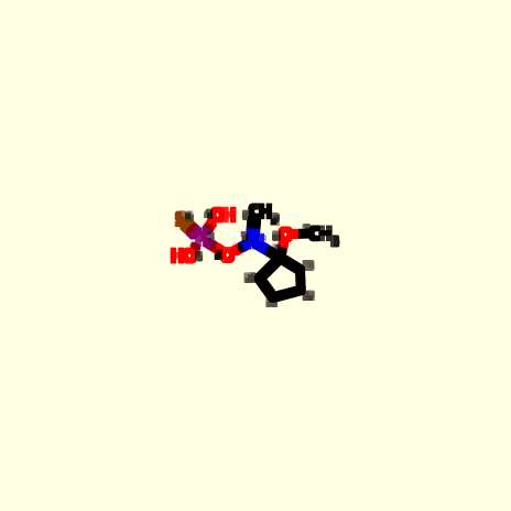 C=[N+](OP(O)(O)=S)C1(OC)CCCC1